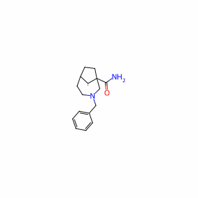 NC(=O)C12[CH]C(CCN(Cc3ccccc3)C1)CC2